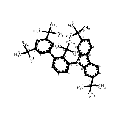 CC(C)(C)c1cc(-c2cccc(-n3c4cc(C(C)(C)C)ccc4c4ccc(C(C)(C)C)cc43)c2C(C)(C)C)cc(C(C)(C)C)c1